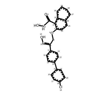 O=C(NO)c1c(OCC(=NO)c2ccc(-c3ccc(Cl)cc3)cc2)ccc2ccccc12